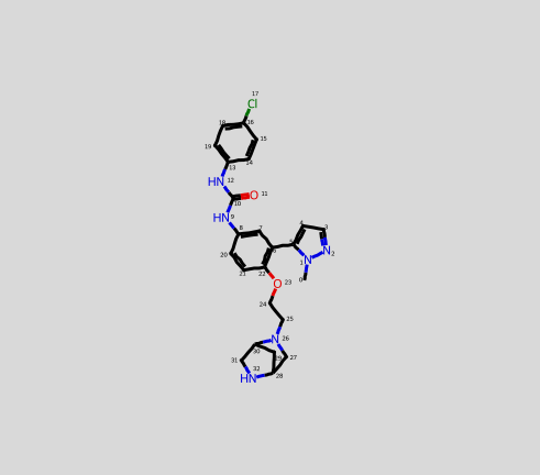 Cn1nccc1-c1cc(NC(=O)Nc2ccc(Cl)cc2)ccc1OCCN1CC2CC1CN2